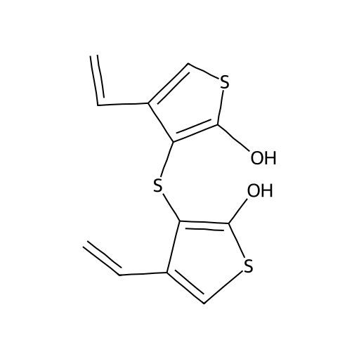 C=Cc1csc(O)c1Sc1c(C=C)csc1O